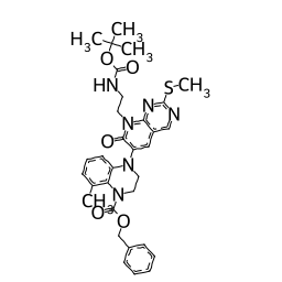 CSc1ncc2cc(N3CCN(C(=O)OCc4ccccc4)c4c(C)cccc43)c(=O)n(CCNC(=O)OC(C)(C)C)c2n1